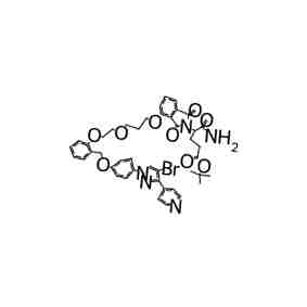 CC(C)(C)OC(=O)CCC(C(N)=O)N1C(=O)c2cccc(OCCCOCCOc3ccccc3COc3ccc(-n4cc(Br)c(-c5ccncc5)n4)cc3)c2C1=O